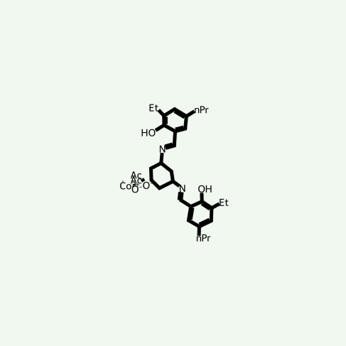 CC(=O)[O-].CC(=O)[O-].CCCc1cc(C=NC2CCCC(N=Cc3cc(CCC)cc(CC)c3O)C2)c(O)c(CC)c1.[Co+2]